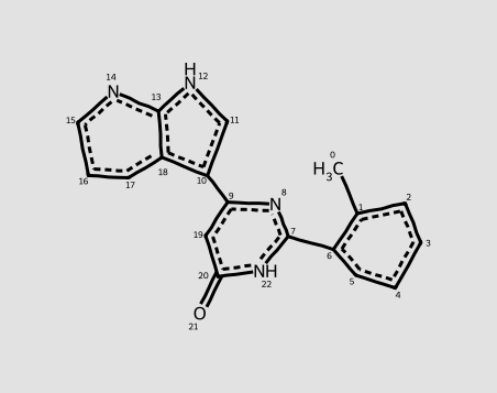 Cc1ccccc1-c1nc(-c2c[nH]c3ncccc23)cc(=O)[nH]1